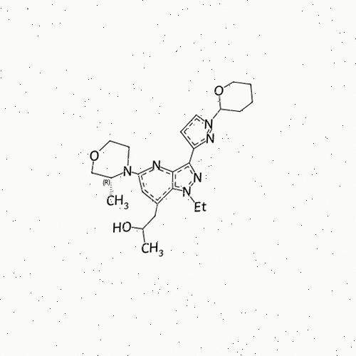 CCn1nc(-c2ccn(C3CCCCO3)n2)c2nc(N3CCOC[C@H]3C)cc(CC(C)O)c21